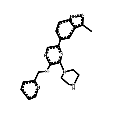 Cc1n[nH]c2ccc(-c3cnc(NCc4ccccn4)c(N4CCNCC4)n3)cc12